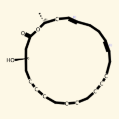 C[C@@H]1C/C=C/CC/C=C/CCCCCCCCCCCC[C@@H](O)CC(=O)O1